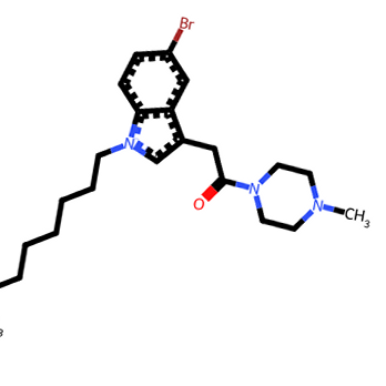 CCCCCCCCn1cc(CC(=O)N2CCN(C)CC2)c2cc(Br)ccc21